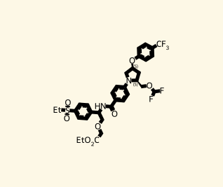 CCOC(=O)COCC(NC(=O)c1ccc(N2C[C@@H](Oc3ccc(C(F)(F)F)cc3)C[C@H]2COC(F)F)cc1)c1ccc(S(=O)(=O)CC)cc1